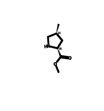 COC(=O)[C@H]1C[C@@H](C)CN1